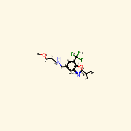 COCCCNCc1cc(C(F)(F)F)c2oc(C(C)C)nc2c1